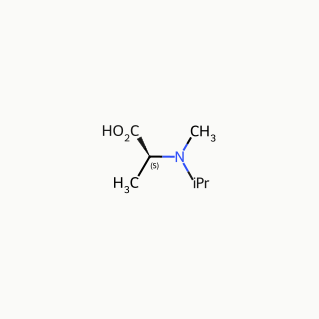 CC(C)N(C)[C@@H](C)C(=O)O